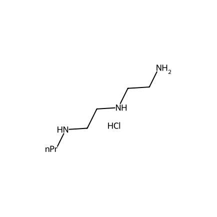 CCCNCCNCCN.Cl